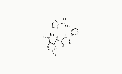 CC(C)C1CCC(CNC(=O)c2ccc(Br)cc2NC(=S)NC(=O)c2ccccc2)O1